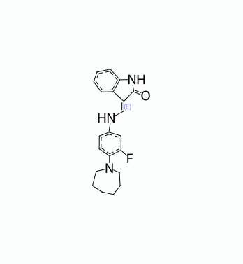 O=C1Nc2ccccc2/C1=C\Nc1ccc(N2CCCCCC2)c(F)c1